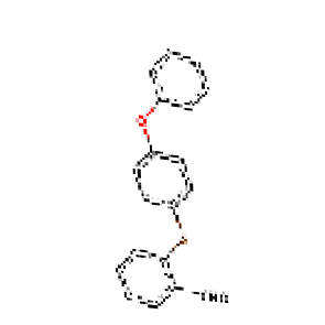 O=Cc1ccccc1Sc1ccc(Oc2ccccc2)cc1